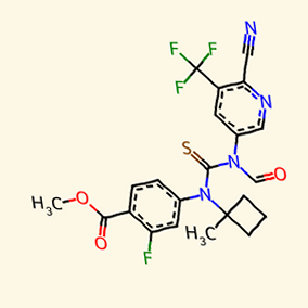 COC(=O)c1ccc(N(C(=S)N(C=O)c2cnc(C#N)c(C(F)(F)F)c2)C2(C)CCC2)cc1F